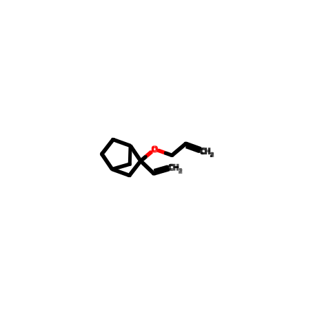 C=CCOC1(C=C)CC2CCC1C2